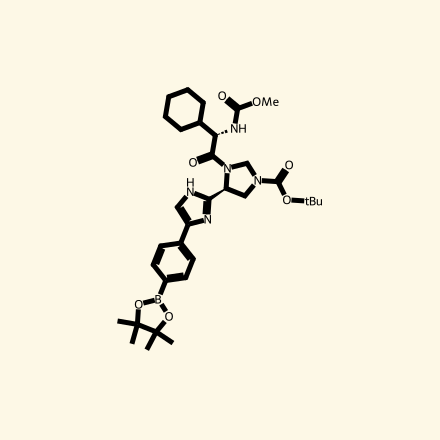 COC(=O)N[C@H](C(=O)N1CN(C(=O)OC(C)(C)C)C[C@H]1c1nc(-c2ccc(B3OC(C)(C)C(C)(C)O3)cc2)c[nH]1)C1CCCCC1